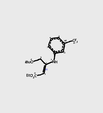 CCOC(=O)/C=C(\COCC(C)C)Nc1cccc(C(F)(F)F)c1